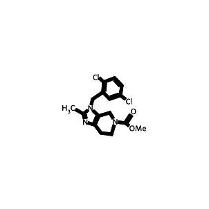 COC(=O)N1CCc2nc(C)n(Cc3cc(Cl)ccc3Cl)c2C1